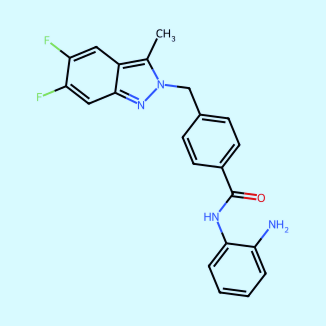 Cc1c2cc(F)c(F)cc2nn1Cc1ccc(C(=O)Nc2ccccc2N)cc1